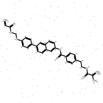 C=CC(=O)OCOc1ccc(-c2ccc3cc(OC(=O)c4ccc(CCOC(=O)C(=C)C)cc4)ccc3c2)cc1